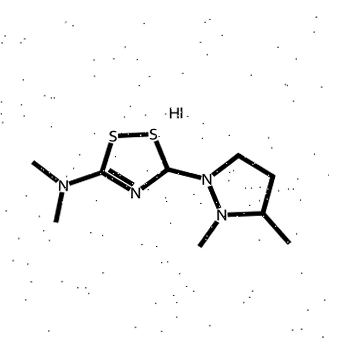 CC1CCN(C2N=C(N(C)C)SS2)N1C.I